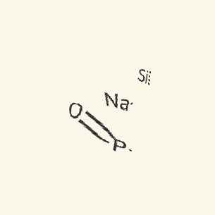 O=[P].[Na].[Si]